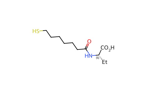 CC[C@H](NC(=O)CCCCCCS)C(=O)O